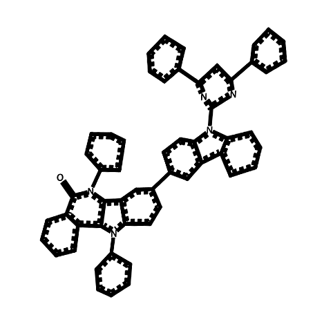 O=c1c2ccccc2c2c(c3cc(-c4ccc5c(c4)c4ccccc4n5-c4nc(-c5ccccc5)cc(-c5ccccc5)n4)ccc3n2-c2ccccc2)n1-c1ccccc1